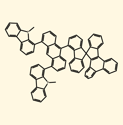 Cp1c2ccccc2c2cccc(-c3cccc4c(-c5cccc6c5-c5ccccc5C65c6ccccc6-c6c5c5ccccc5c5ccccc65)c5cccc(-c6cccc7c8ccccc8p(C)c67)c5cc34)c21